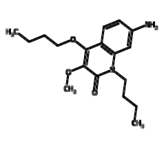 CCCCOc1c(OC)c(=O)n(CCCC)c2cc(N)ccc12